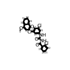 COc1ccc(Oc2c(Cl)cc(NC(=O)NC(=O)c3ccccc3Cl)cc2Cl)c2ccccc12